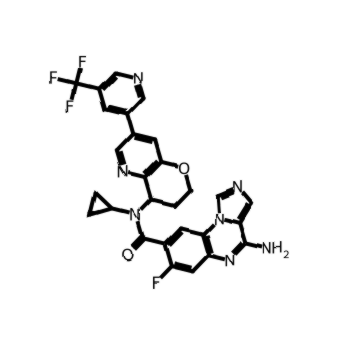 Nc1nc2cc(F)c(C(=O)N(C3CC3)C3CCOc4cc(-c5cncc(C(F)(F)F)c5)cnc43)cc2n2cncc12